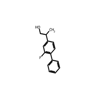 CC(CO)c1ccc(-c2c[c]ccc2)c(F)c1